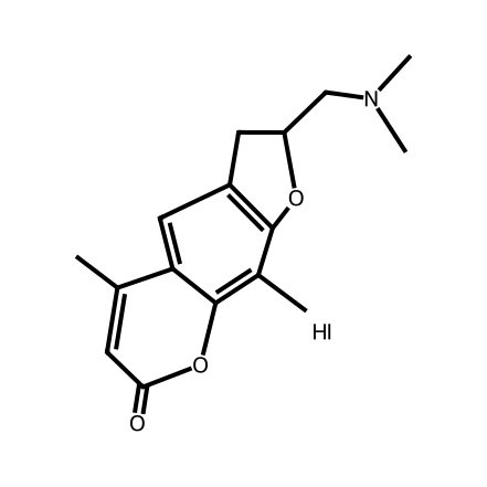 Cc1cc(=O)oc2c(C)c3c(cc12)CC(CN(C)C)O3.I